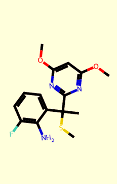 COc1cc(OC)nc(C(C)(SC)c2cccc(F)c2N)n1